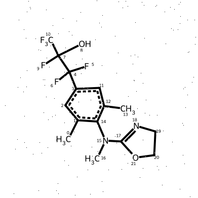 Cc1cc(C(F)(F)C(O)(F)C(F)(F)F)cc(C)c1N(C)C1=NCCO1